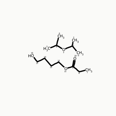 CC(C)OC(C)C.CCC(=O)OCCCCO